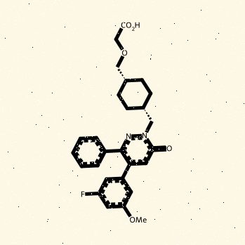 COc1cc(F)cc(-c2cc(=O)n(C[C@H]3CC[C@@H](COCC(=O)O)CC3)nc2-c2ccccc2)c1